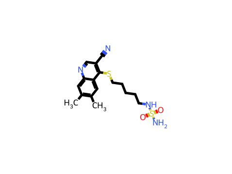 Cc1cc2ncc(C#N)c(SCCCCCNS(N)(=O)=O)c2cc1C